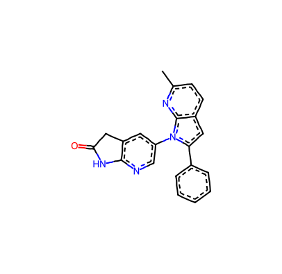 Cc1ccc2cc(-c3ccccc3)n(-c3cnc4c(c3)CC(=O)N4)c2n1